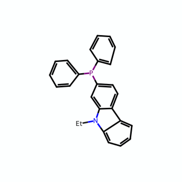 CCn1c2ccccc2c2ccc(P(c3ccccc3)c3ccccc3)cc21